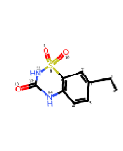 CCc1ccc2c(c1)S(=O)(=O)NC(=O)N2